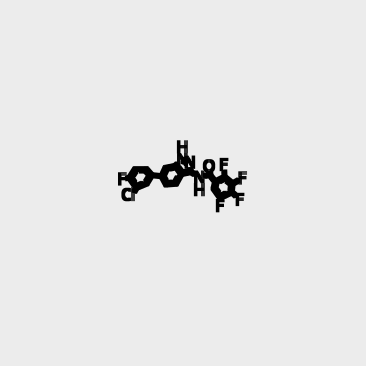 O=C(Nc1n[nH]c2cc(-c3ccc(F)c(Cl)c3)ccc12)c1cc(F)c(F)c(F)c1F